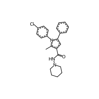 Cc1c(C(=O)NN2CCCCC2)cc(-c2ccccc2)n1-c1ccc(Cl)cc1